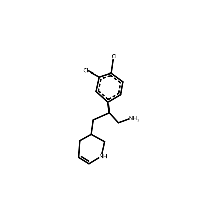 NCC(CC1CC=CNC1)c1ccc(Cl)c(Cl)c1